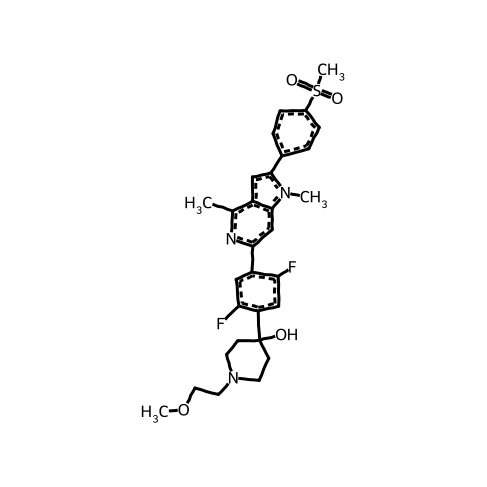 COCCN1CCC(O)(c2cc(F)c(-c3cc4c(cc(-c5ccc(S(C)(=O)=O)cc5)n4C)c(C)n3)cc2F)CC1